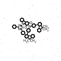 CC1(C)c2ccccc2-c2c(-c3ccc4c(c3)Oc3cc5c6ccccc6n(-c6nc(-c7ccccc7)nc(-c7ccccc7)n6)c5c5c3N4c3ccc(-c4cccc6c4-c4ccccc4C6(C)C)cc3O5)cccc21